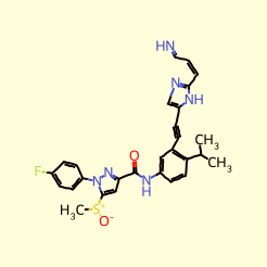 CC(C)c1ccc(NC(=O)c2cc([S+](C)[O-])n(-c3ccc(F)cc3)n2)cc1C#Cc1cnc(/C=C\C=N)[nH]1